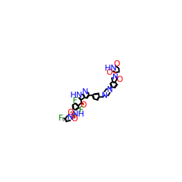 O=C1CCC(N2Cc3cc(N4CCN(Cc5ccc(-c6cnc7[nH]cc(C(=O)c8c(F)ccc(NS(=O)(=O)N9CC[C@@H](F)C9)c8F)c7c6)cc5)CC4)ccc3C2=O)C(=O)N1